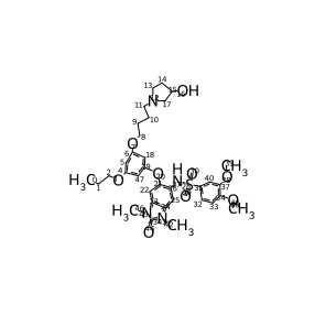 CCCOc1cc(OCCCCN2CCC(O)C2)cc(Oc2cc3c(cc2NS(=O)(=O)c2ccc(OC)c(OC)c2)n(C)c(=O)n3C)c1